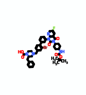 CC(C)(C)OC(=O)NC1CCC(n2c(=O)c3cc(F)cnc3n(-c3cccc(-c4ccc(CN5CCN(C(=O)O)C(Cc6ccccc6)C5)cc4Br)c3)c2=O)CC1